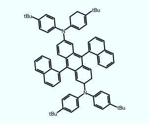 CC(C)(C)C1=CC=C(N(c2ccc(C(C)(C)C)cc2)c2ccc3c(-c4cccc5ccccc45)c4c(c(-c5cccc6ccccc56)c3c2)=CCC(N(c2ccc(C(C)(C)C)cc2)c2ccc(C(C)(C)C)cc2)C=4)CC1